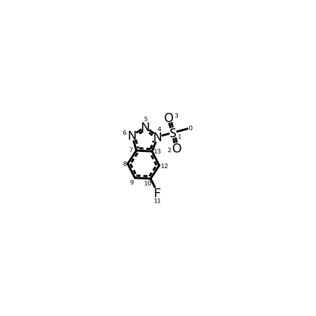 CS(=O)(=O)n1nnc2ccc(F)cc21